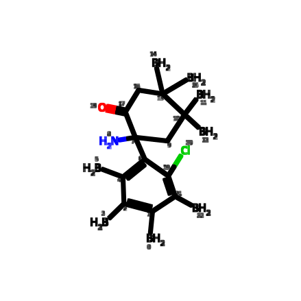 Bc1c(B)c(B)c(C2(N)CC(B)(B)C(B)(B)CC2=O)c(Cl)c1B